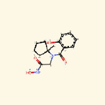 CC1(N(CC(=O)NO)C(=O)c2ccccc2O)CCCC1